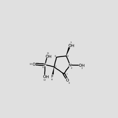 O=C1N(O)[C@H](O)C[C@@]1(F)P(=O)(O)O